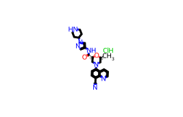 C[C@@H]1CN(c2ccc(C#N)c3ncccc23)C[C@H](C(=O)Nc2cnn(C3CCNCC3)c2)O1.Cl